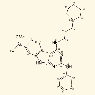 COC(=O)c1ccc2c(c1)[nH]c1nc(Nc3ccccc3)nc(NCCCN3CCCCC3)c12